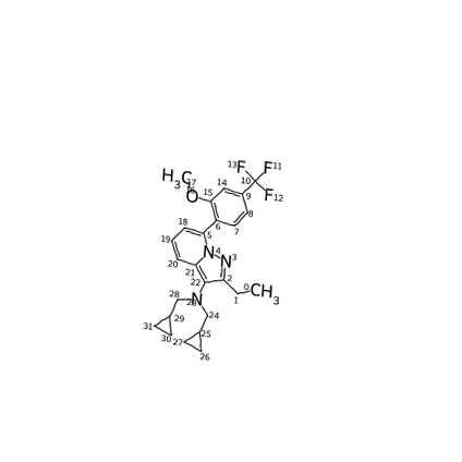 CCc1nn2c(-c3ccc(C(F)(F)F)cc3OC)cccc2c1N(CC1CC1)CC1CC1